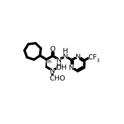 O=CN(O)C[C@H](C(=O)NNc1nccc(C(F)(F)F)n1)C1CCCCCC1